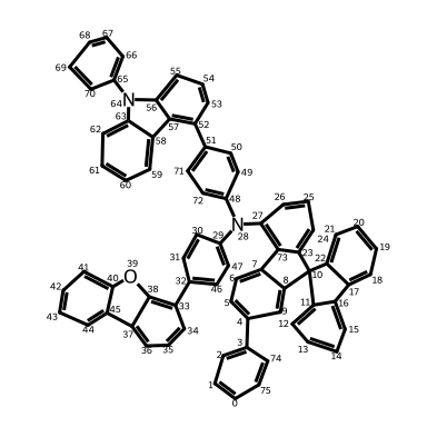 c1ccc(-c2ccc3c(c2)C2(c4ccccc4-c4ccccc42)c2cccc(N(c4ccc(-c5cccc6c5oc5ccccc56)cc4)c4ccc(-c5cccc6c5c5ccccc5n6-c5ccccc5)cc4)c2-3)cc1